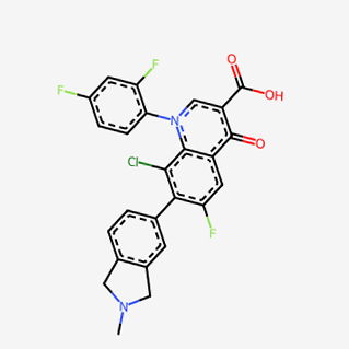 CN1Cc2ccc(-c3c(F)cc4c(=O)c(C(=O)O)cn(-c5ccc(F)cc5F)c4c3Cl)cc2C1